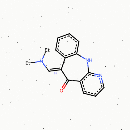 CCN(/C=C1/C(=O)c2cccnc2Nc2ccccc21)CC